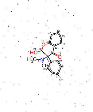 CN(C)C1(c2ccc(F)cc2)C(=O)c2ccccc2OC1O